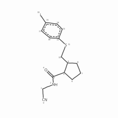 N#CCNC(=O)C1CCCC1CSc1ccc(I)cc1